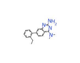 CCc1ccccc1-c1ccc2c(N(C)C)nc(N)nc2c1